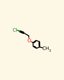 Cc1ccc(OCC#CCl)cc1